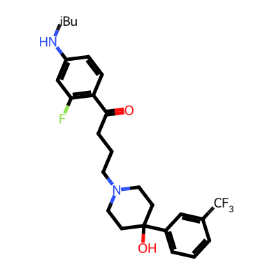 CCC(C)Nc1ccc(C(=O)CCCN2CCC(O)(c3cccc(C(F)(F)F)c3)CC2)c(F)c1